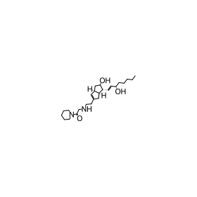 CCCCC[C@H](O)/C=C/[C@@H]1[C@H]2CC(CCNCC(=O)N3CCCCC3)=C[C@H]2C[C@H]1O